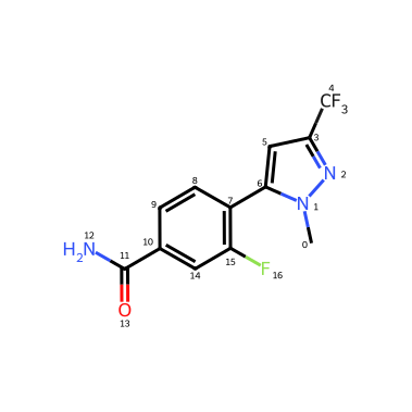 Cn1nc(C(F)(F)F)cc1-c1ccc(C(N)=O)cc1F